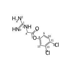 N=C(N)NCC(=O)Oc1ccc(Cl)c(Cl)c1